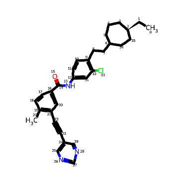 CC[C@@H]1CCCC(CCc2ccc(NC(=O)c3ccc(C)c(C#Cc4cncnc4)c3)cc2Cl)CC1